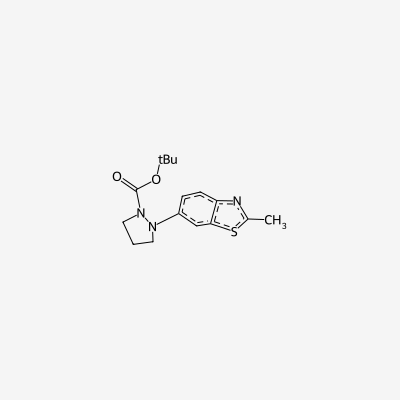 Cc1nc2ccc(N3CCCN3C(=O)OC(C)(C)C)cc2s1